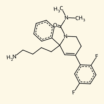 CN(C)C(=O)N1CCC(c2cc(F)ccc2F)=CC1(CCCCN)c1ccccc1